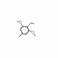 CCc1c(OC)cc(C)cc1OC